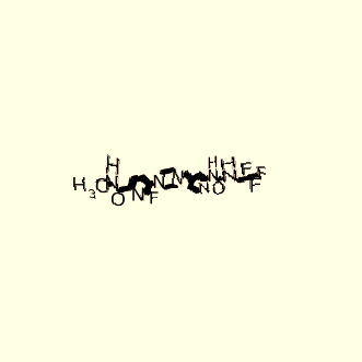 CNC(=O)c1ccc(N2CCN(Cc3ccnc(NC(=O)NCC(F)(F)F)c3)CC2)c(F)n1